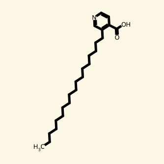 CCCCCCCCCCCCCCCCCCc1cnccc1C(=O)O